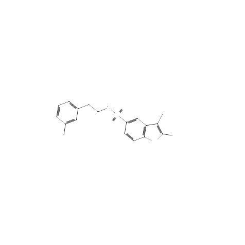 Cc1cccc(CCNS(=O)(=O)c2ccc3oc(C(=O)O)c(C)c3c2)c1